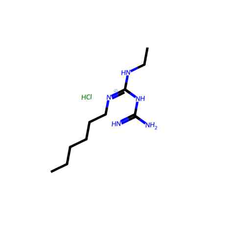 CCCCCC/N=C(/NCC)NC(=N)N.Cl